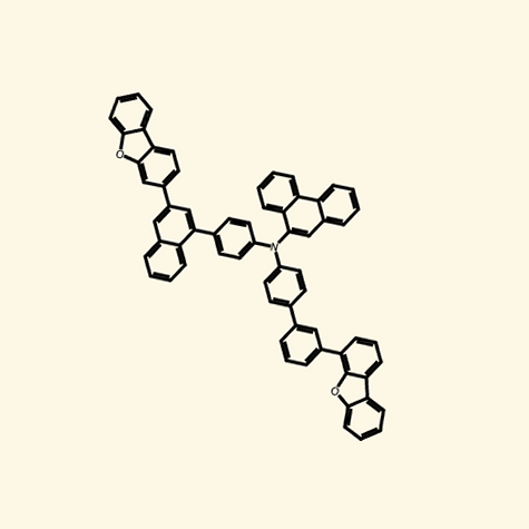 c1cc(-c2ccc(N(c3ccc(-c4cc(-c5ccc6c(c5)oc5ccccc56)cc5ccccc45)cc3)c3cc4ccccc4c4ccccc34)cc2)cc(-c2cccc3c2oc2ccccc23)c1